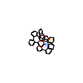 c1ccc(-c2ccccc2N(c2ccc3c(c2)C2(c4ccccc4-c4ccccc4-3)c3ccccc3-c3cc4sc5ccccc5c4cc32)c2ccccc2-c2ccccc2)cc1